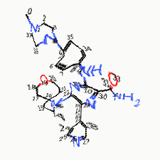 CN1CCN(c2ccc(Nc3nc(N4CCC45CCOCC5)c(-c4ccncc4)nc3C(N)=O)cc2)CC1